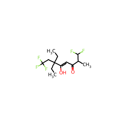 CCC(CC)(CC(F)(F)F)/C(O)=C/C(=O)C(C)C(F)F